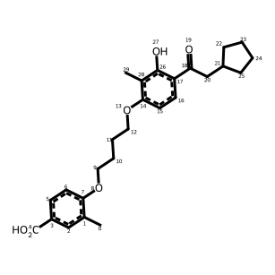 Cc1cc(C(=O)O)ccc1OCCCCOc1ccc(C(=O)CC2CCCC2)c(O)c1C